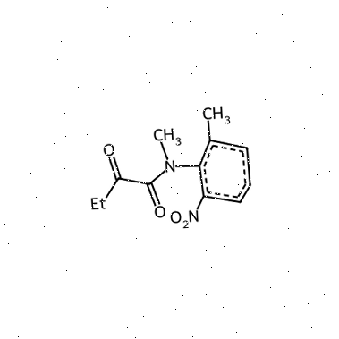 CCC(=O)C(=O)N(C)c1c(C)cccc1[N+](=O)[O-]